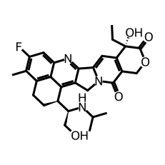 CC[C@@]1(O)C(=O)OCc2c1cc1n(c2=O)Cc2c-1nc1cc(F)c(C)c3c1c2[C@@H]([C@H](CO)NC(C)C)CC3